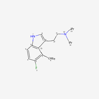 COc1c(F)ccc2[nH]cc(CCN(C(C)C)C(C)C)c12